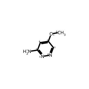 COc1cnnc(N)c1